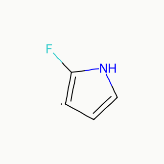 Fc1[c]cc[nH]1